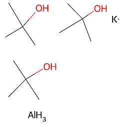 CC(C)(C)O.CC(C)(C)O.CC(C)(C)O.[AlH3].[K]